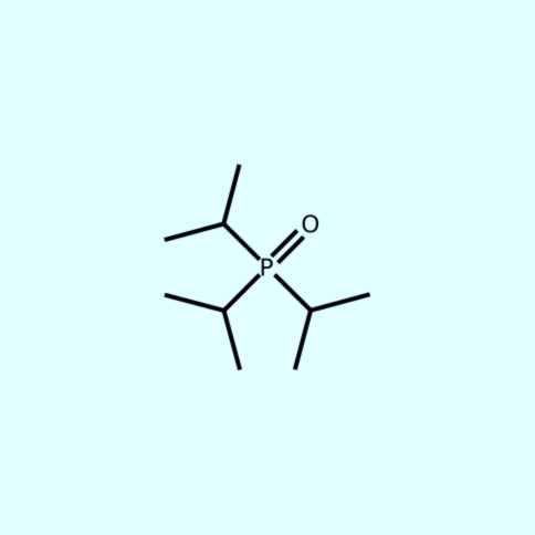 CC(C)P(=O)(C(C)C)C(C)C